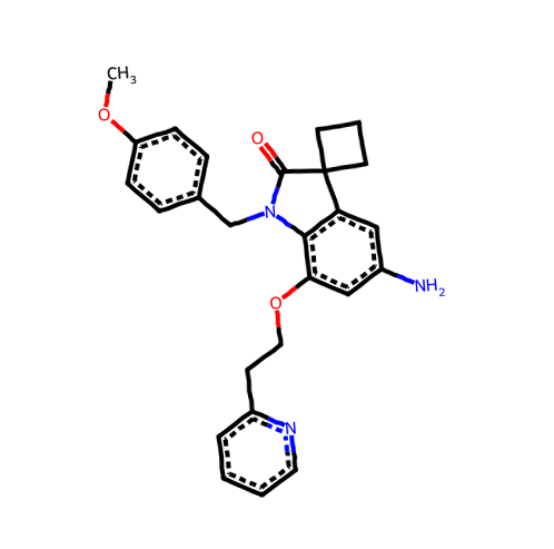 COc1ccc(CN2C(=O)C3(CCC3)c3cc(N)cc(OCCc4ccccn4)c32)cc1